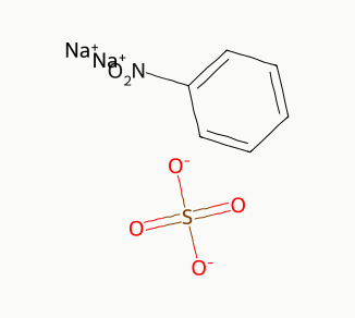 O=S(=O)([O-])[O-].O=[N+]([O-])c1ccccc1.[Na+].[Na+]